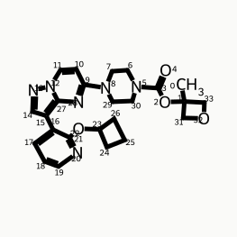 CC1(OC(=O)N2CCN(c3ccn4ncc(-c5cccnc5OC5CCC5)c4n3)CC2)COC1